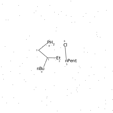 CCCCC(CC)CP.CCCCCCl